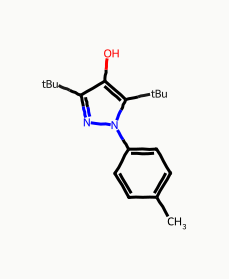 Cc1ccc(-n2nc(C(C)(C)C)c(O)c2C(C)(C)C)cc1